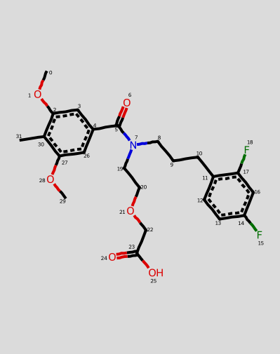 COc1cc(C(=O)N(CCCc2ccc(F)cc2F)CCOCC(=O)O)cc(OC)c1C